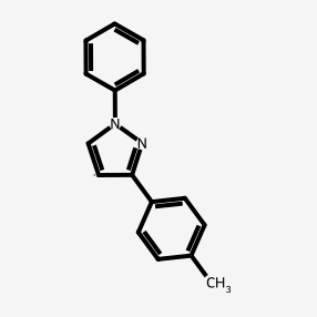 Cc1ccc(-c2[c]cn(-c3ccccc3)n2)cc1